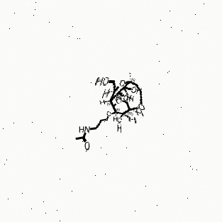 CC(=O)NCCCO[C@H]1C2OC[C@@H](OCCC[C@]3(C)O[C@H](CO)[C@@H]2[C@H](O)[C@H]3O)[C@@H]1O